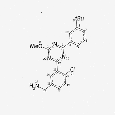 COc1nc(-c2cccc(C(C)(C)C)c2)nc(-c2cc(CN)ccc2Cl)n1